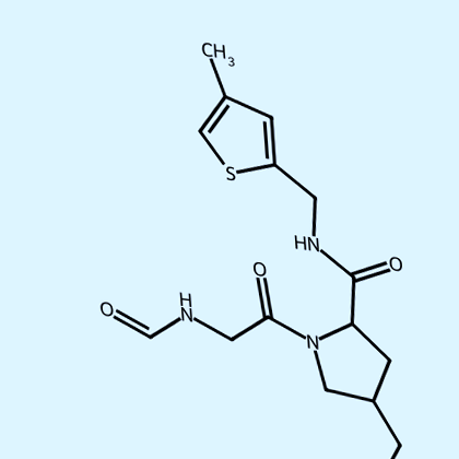 Cc1csc(CNC(=O)C2CC(CF)CN2C(=O)CNC=O)c1